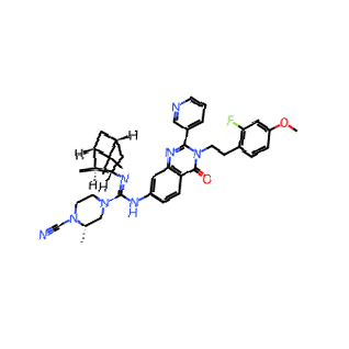 COc1ccc(CCn2c(-c3cccnc3)nc3cc(NC(=N[C@H]4C[C@H]5C[C@@H]([C@@H]4C)C5(C)C)N4CCN(C#N)[C@@H](C)C4)ccc3c2=O)c(F)c1